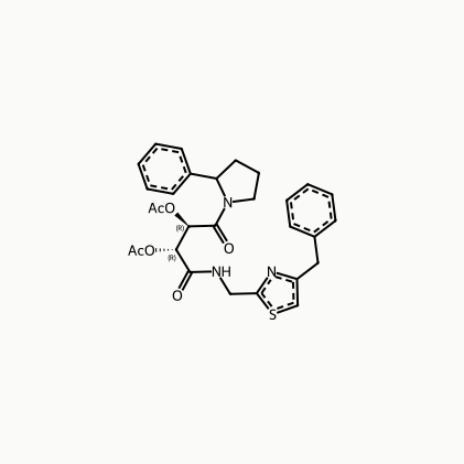 CC(=O)O[C@@H](C(=O)NCc1nc(Cc2ccccc2)cs1)[C@@H](OC(C)=O)C(=O)N1CCCC1c1ccccc1